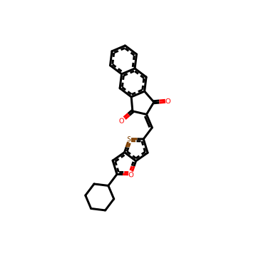 O=C1C(=Cc2cc3oc(C4CCCCC4)cc3s2)C(=O)c2cc3ccccc3cc21